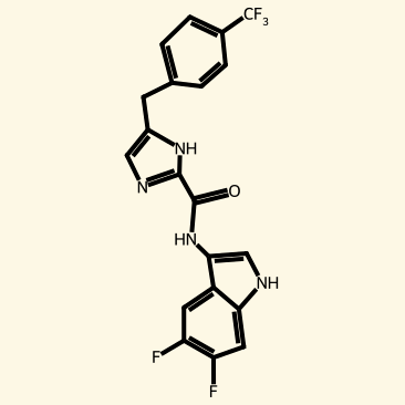 O=C(Nc1c[nH]c2cc(F)c(F)cc12)c1ncc(Cc2ccc(C(F)(F)F)cc2)[nH]1